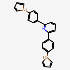 C1=C[SH](c2ccc(-c3cccc(-c4ccc([SH]5C=CC=C5)cc4)n3)cc2)C=C1